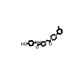 Cc1cccc(N2CCN(C(=O)CN3CCC(C(=O)Nc4ccc(O)cc4)C3)CC2)c1